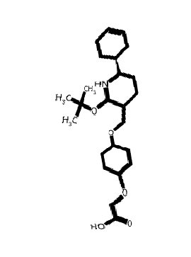 CC(C)(C)OC1NC([C@@H]2CC=CCC2)CCC1COC1CCC(OCC(=O)O)CC1